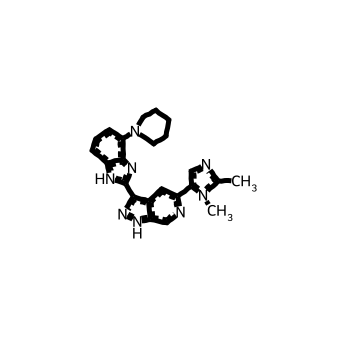 Cc1ncc(-c2cc3c(-c4nc5c(N6CCCCC6)cccc5[nH]4)n[nH]c3cn2)n1C